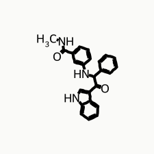 CNC(=O)c1cccc(NC(C(=O)c2c[nH]c3ccccc23)c2ccccc2)c1